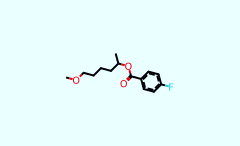 COCCCCC(C)OC(=O)c1ccc(F)cc1